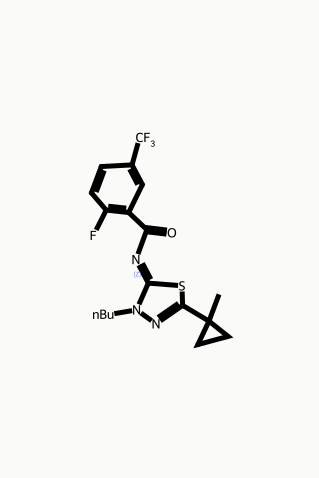 CCCCn1nc(C2(C)CC2)s/c1=N\C(=O)c1cc(C(F)(F)F)ccc1F